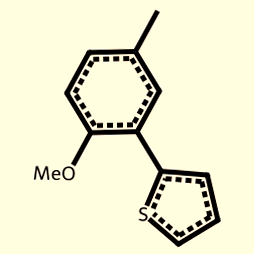 COc1ccc(C)cc1-c1cccs1